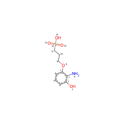 Nc1c(O)cccc1OCCCS(=O)(=O)O